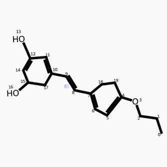 CCCOC1=CC=C(/C=C/C2=CC(O)=CC(O)C2)CC1